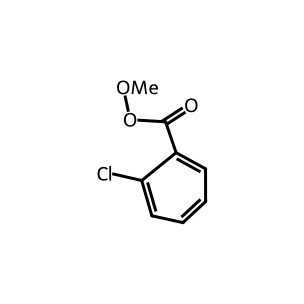 COOC(=O)c1ccccc1Cl